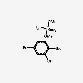 CC(C)(C)c1ccc(C(C)(C)C)c(O)c1.COP(C)(=O)OC